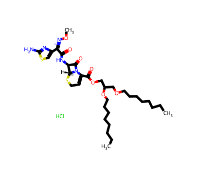 CCCCCCCCOCC(COC(=O)C1=CCS[C@@H]2C(NC(=O)/C(=N\OC)c3csc(N)n3)C(=O)N12)OCCCCCCCC.Cl